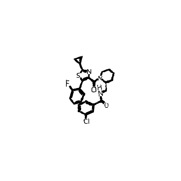 O=C(NC[C@@H]1CCCCN1C(=O)c1nc(C2CC2)sc1-c1ccccc1F)c1cccc(Cl)c1